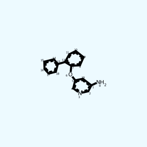 Nc1cncc(Oc2ccccc2-c2ccccc2)c1